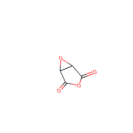 O=C1OC(=O)C2OC12